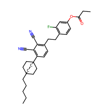 CCCCCC12CCC(c3ccc(CCc4ccc(OC(=O)CC)cc4F)c(C#N)c3C#N)(CC1)CC2